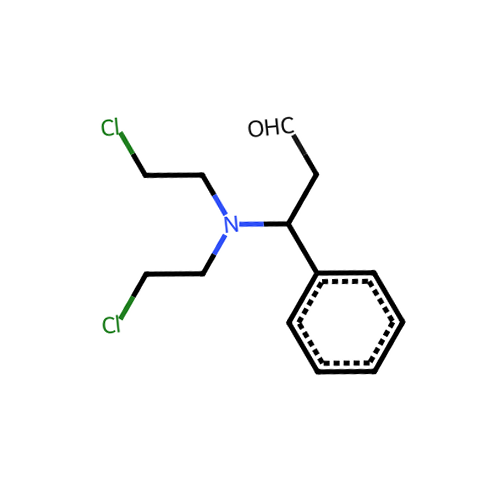 O=CCC(c1ccccc1)N(CCCl)CCCl